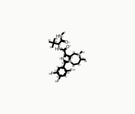 CNC(=O)[C@@H](NC(=O)c1nc(-c2cc(F)c(F)cc2F)n2c1CN(C)C(C)CC2)C(C)(C)C